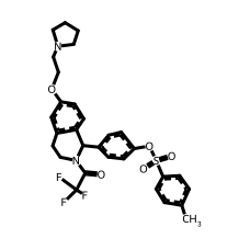 Cc1ccc(S(=O)(=O)Oc2ccc(C3c4ccc(OCCN5CCCC5)cc4CCN3C(=O)C(F)(F)F)cc2)cc1